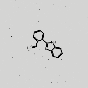 C=Cc1ccccc1-c1nc2ccccc2[nH]1